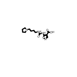 O=C(NCCCCN1CCCC1)Nc1sncc1C(=O)O